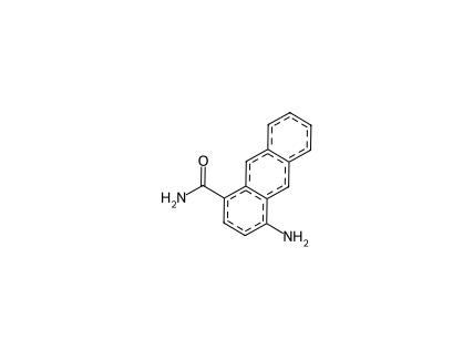 NC(=O)c1ccc(N)c2cc3ccccc3cc12